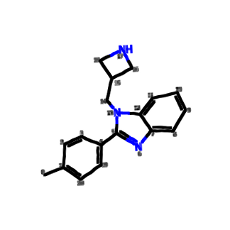 Cc1ccc(-c2nc3ccccc3n2CC2CNC2)cc1